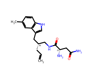 C=CC[C@@H](CNC(=O)[C@@H](N)CC(N)=O)Cc1c[nH]c2ccc(C)cc12